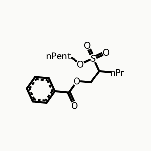 CCCCCOS(=O)(=O)C(CCC)COC(=O)c1ccccc1